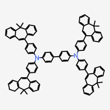 CC1(C)C2=C(C=CCC2)C=C(c2ccc(N(c3ccc(C4=Cc5ccccc5C(C)(C)c5ccccc54)cc3)c3ccc(-c4ccc(N(c5ccc(C6=Cc7ccccc7C(C)(C)c7ccccc76)cc5)c5ccc(C6=Cc7ccccc7C(C)(C)c7ccccc76)cc5)cc4)cc3)cc2)c2ccccc21